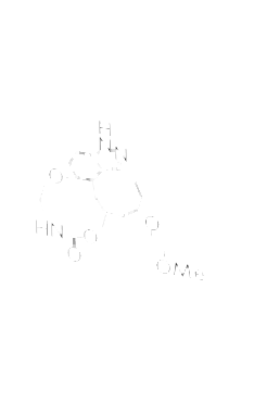 COCCOC1=CC2=Cc3c(ccc4[nH]nc(c34)C=C1)OCCCNC(=O)OC2